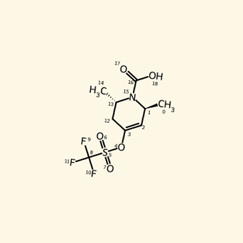 C[C@H]1C=C(OS(=O)(=O)C(F)(F)F)C[C@H](C)N1C(=O)O